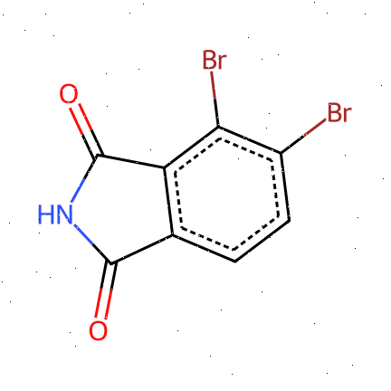 O=C1NC(=O)c2c1ccc(Br)c2Br